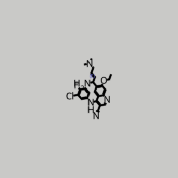 CCOc1cc2ncc(C#N)c(Nc3ccc(F)c(Cl)c3)c2cc1C(N)/C=C/CN(C)C